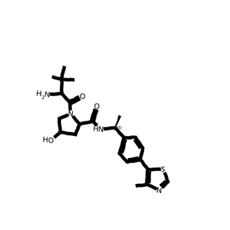 Cc1ncsc1-c1ccc([C@H](C)NC(=O)C2CC(O)CN2C(=O)C(N)C(C)(C)C)cc1